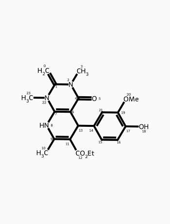 C=C1N(C)C(=O)C2=C(NC(C)=C(C(=O)OCC)C2c2ccc(O)c(OC)c2)N1C